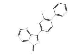 O=C1N=C(c2ccc(-c3ccccc3)c(F)c2)c2ccccc21